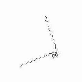 [CH2]C(CCCCCCCCCCCCCCCC)(CCCCCCCCCCCCCCCC)OOCC